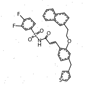 O=C(C=Cc1ccc(Cc2ccsc2)cc1OCCc1ccc2ccccc2c1)NS(=O)(=O)c1ccc(F)c(F)c1